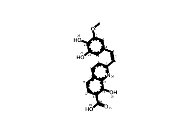 COc1cc(/C=C\c2ccc3ccc(C(=O)O)c(O)c3n2)cc(O)c1O